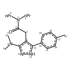 CCCN(CCC)C(=O)Cc1c(N(C)C)n[nH]c1-c1ccc(C)cc1